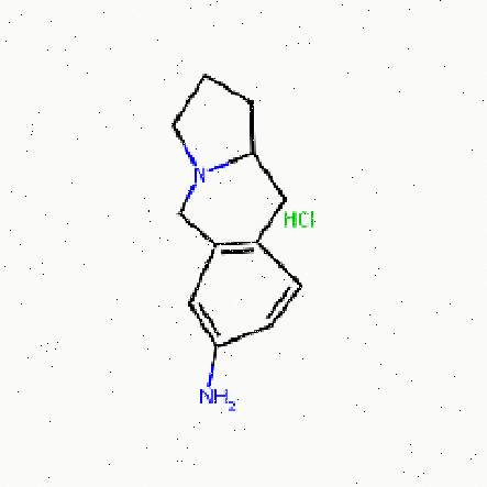 Cl.Nc1ccc2c(c1)CN1CCCC1C2